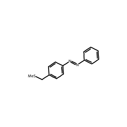 CSCc1ccc(N=Nc2ccccc2)cc1